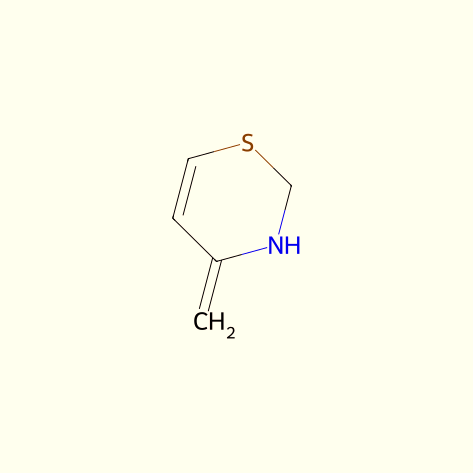 C=C1C=CSCN1